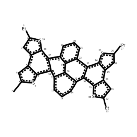 CCc1cc2c3cc(C)sc3c3c4cccc5c4c4c(cccc4c4c6sc(C(C)C)cc6c6cc(CC)sc6c54)c3c2s1